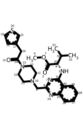 COC(=O)[C@@H](Nc1nc(CN2CCN(C(=O)Cc3ccsc3)CC2)nc2ccccc12)C(C)C